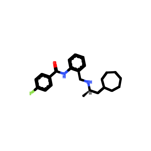 C[C@@H](CC1CCCCCC1)NCc1ccccc1NC(=O)c1ccc(F)cc1